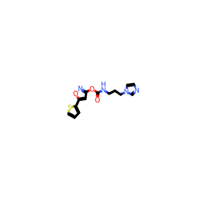 O=C(NCCCn1ccnc1)Oc1cc(-c2cccs2)on1